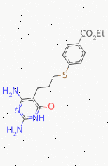 CCOC(=O)c1ccc(SCCCc2c(N)nc(N)[nH]c2=O)cc1